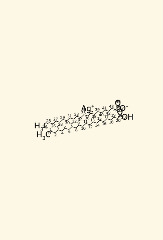 CCCCCCCCCCCCCCCCCCCCCC(=O)O.CCCCCCCCCCCCCCCCCCCCCC(=O)[O-].[Ag+]